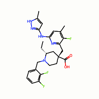 CC[C@@H]1C[C@](Cc2nc(Nc3cc(C)[nH]n3)cc(C)c2F)(C(=O)O)CCN1Cc1cccc(F)c1F